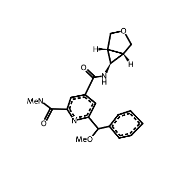 CNC(=O)c1cc(C(=O)N[C@H]2[C@@H]3COC[C@@H]32)cc(C(OC)c2ccccc2)n1